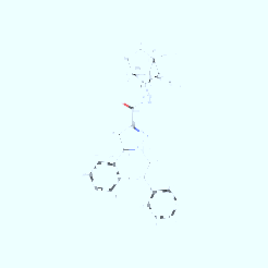 CC1(C)[C@@H]2CC[C@@]1(C)[C@@H](NC(=O)C1=NN(CCc3ccccc3)C(c3ccccc3)C1)C2